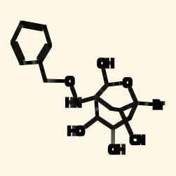 N#CC1CC2(NOCc3ccccc3)C(O)OC1(Br)CC(O)C2O